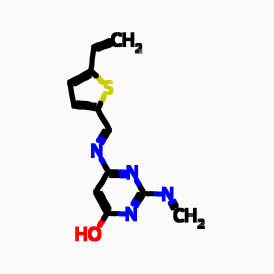 C=Cc1ccc(C=Nc2cc(O)nc(N=C)n2)s1